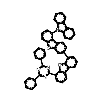 c1ccc(-c2nc(-c3ccccc3)nc(-c3cccc4c3oc3c(-c5ccc6c(c5)sc5cccc(-n7c8ccccc8c8ccccc87)c56)cccc34)n2)cc1